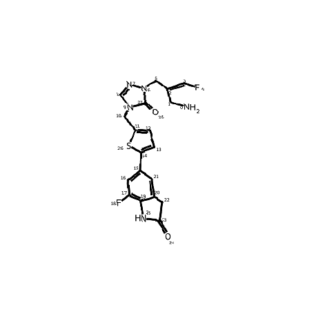 NC/C(=C\F)Cn1ncn(Cc2ccc(-c3cc(F)c4c(c3)CC(=O)N4)s2)c1=O